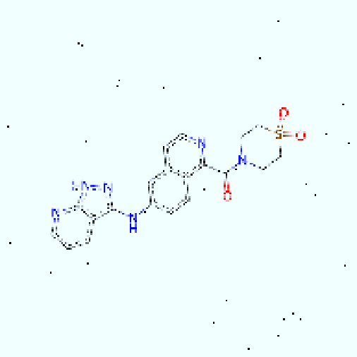 O=C(c1nccc2cc(Nc3n[nH]c4ncccc34)ccc12)N1CCS(=O)(=O)CC1